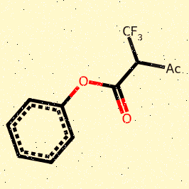 CC(=O)C(C(=O)Oc1ccccc1)C(F)(F)F